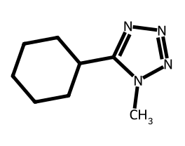 Cn1nnnc1C1CCCCC1